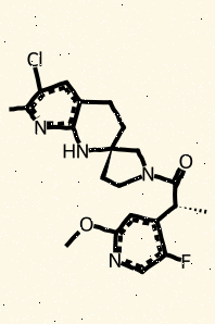 COc1cc([C@@H](C)C(=O)N2CC[C@@]3(CCc4cc(Cl)c(C)nc4N3)C2)c(F)cn1